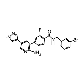 Cn1cc(-c2cnc(N)c(-c3ccc(C(=O)NCc4cccc(Br)c4)c(F)c3)c2)cn1